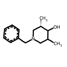 CC1CN(Cc2ccccc2)C[C@H](C)C1O